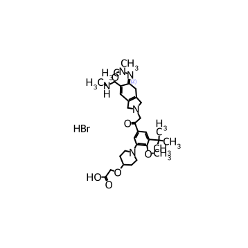 Br.CNC(=O)C1=CC2=C(C/C1=N/N(C)C)CN(CC(=O)c1cc(N3CCC(OCC(=O)O)CC3)c(OC)c(C(C)(C)C)c1)C2